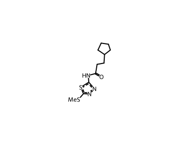 CSc1nnc(NC(=O)CCC2CCCC2)s1